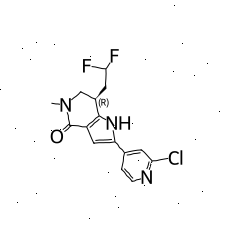 CN1C[C@@H](CC(F)F)c2[nH]c(-c3ccnc(Cl)c3)cc2C1=O